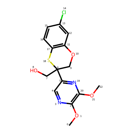 COc1ncc(C2(CO)COc3cc(Cl)ccc3S2)nc1OC